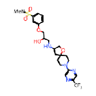 CNS(=O)(=O)c1cccc(OCC(O)CNC2COC3(CCN(c4cnc(C(F)(F)F)cn4)CC3)C2)c1